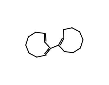 [C]1=C(/C2=C\CCCCCCC2)\C=C\CCCCC/1